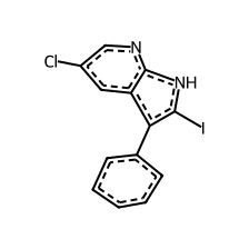 Clc1cnc2[nH]c(I)c(-c3ccccc3)c2c1